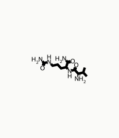 CC(C)[C@H](N)C(=O)NC(CCCNC(N)=O)C(N)=O